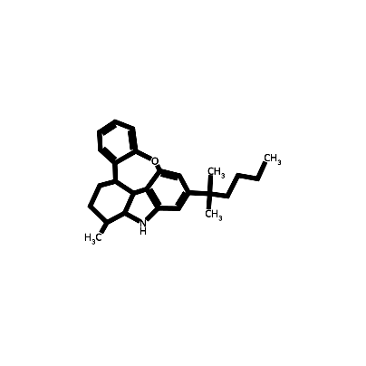 CCCCC(C)(C)c1cc2c3c(c1)Oc1ccccc1C1CCC(C)C(N2)C31